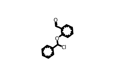 O=Cc1ccccc1OC(Cl)c1ccccc1